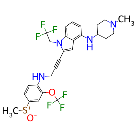 CN1CCC(Nc2cccc3c2cc(C#CCNc2ccc([S+](C)[O-])cc2OC(F)(F)F)n3CC(F)(F)F)CC1